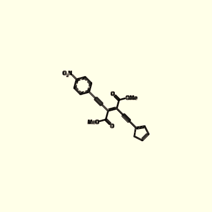 COC(=O)/C(C#CC1=CC=CC1)=C(\C#Cc1ccc([N+](=O)[O-])cc1)C(=O)OC